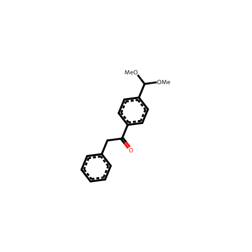 COC(OC)c1ccc(C(=O)Cc2ccccc2)cc1